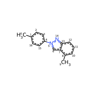 Cc1ccc(-n2cc3c(C)cccc3n2)cc1